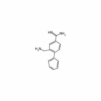 N=C(N)c1ccc(-c2ccccc2)c(CN)c1